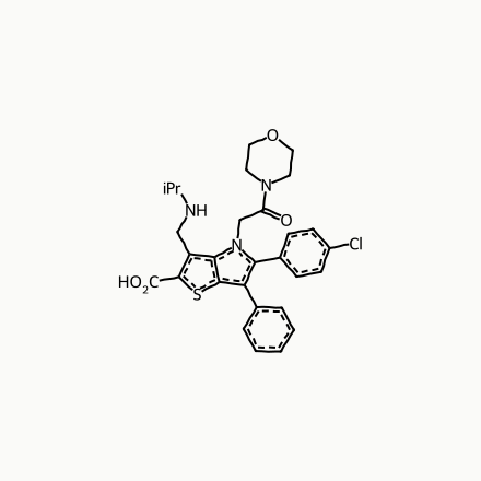 CC(C)NCc1c(C(=O)O)sc2c(-c3ccccc3)c(-c3ccc(Cl)cc3)n(CC(=O)N3CCOCC3)c12